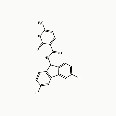 O=C(NC1c2ccc(Cl)cc2-c2cc(Cl)ccc21)c1ccc(C(F)(F)F)[nH]c1=O